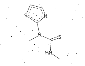 CNC(=S)N(C)c1nccs1